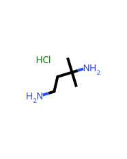 CC(C)(N)CCN.Cl